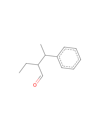 CCC(C=O)C(C)c1ccccc1